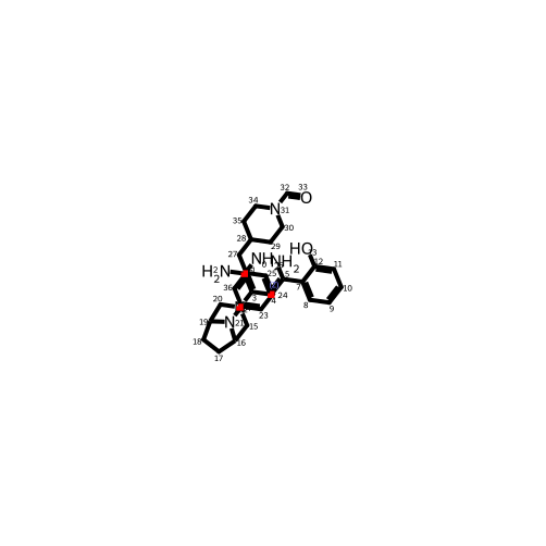 NC(N)=C(/C=C(\N)c1ccccc1O)N1CC2CCC(C1)N2c1cccc(CC2CCN(C=O)CC2)c1